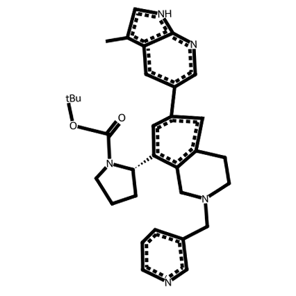 Cc1c[nH]c2ncc(-c3cc4c(c([C@@H]5CCCN5C(=O)OC(C)(C)C)c3)CN(Cc3cccnc3)CC4)cc12